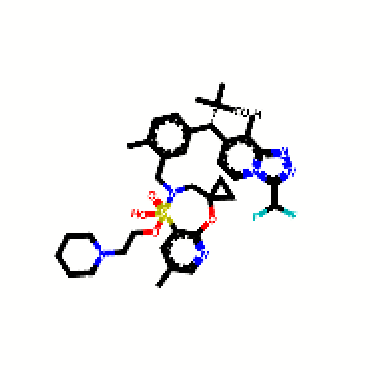 Cc1cnc2c(c1)S(=O)(O)(OCCN1CCCCC1)N(Cc1cc([C@@H](c3ccn4c(C(F)F)nnc4c3C)C(C)(C)C(=O)O)ccc1C)CC1(CC1)O2